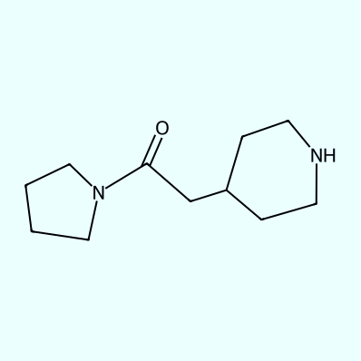 O=C(CC1CCNCC1)N1CCCC1